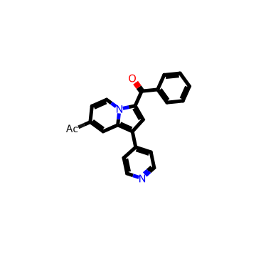 CC(=O)c1ccn2c(C(=O)c3ccccc3)cc(-c3ccncc3)c2c1